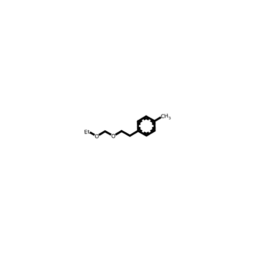 CCOCOCCc1ccc(C)cc1